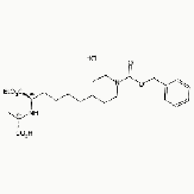 CCOC(=O)[C@@H](CCCCC1CCN(C(=O)OCc2ccccc2)CC1)N[C@@H](C)C(=O)O.Cl